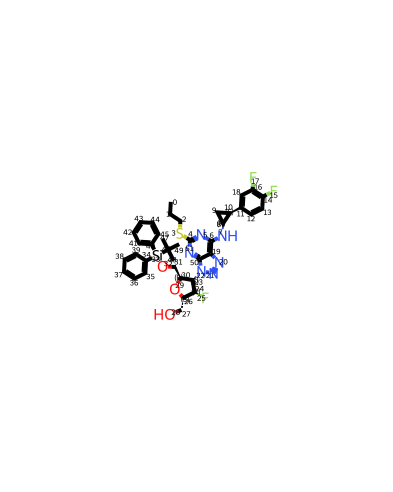 CCCSc1nc(N[C@@H]2C[C@H]2c2ccc(F)c(F)c2)c2nnn([C@@H]3[C@@H](F)[C@H](CO)O[C@H]3CO[Si](c3ccccc3)(c3ccccc3)C(C)(C)C)c2n1